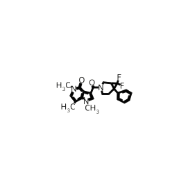 Cc1cn(C)c(=O)c2c(C(=O)N3CCC4(c5ccccc5)C(C3)C4(F)F)cn(C)c12